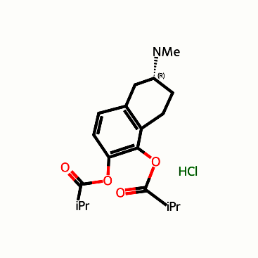 CN[C@@H]1CCc2c(ccc(OC(=O)C(C)C)c2OC(=O)C(C)C)C1.Cl